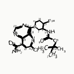 CC(C)(C)OC(=O)NC1CN(c2ncnc3c(C(N)=O)cc(Cl)nc23)CCC1F